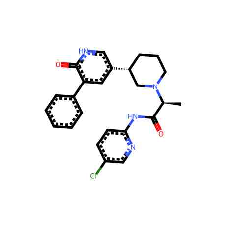 C[C@@H](C(=O)Nc1ccc(Cl)cn1)N1CCC[C@@H](c2c[nH]c(=O)c(-c3ccccc3)c2)C1